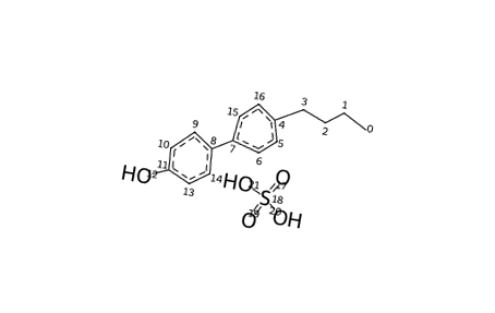 CCCCc1ccc(-c2ccc(O)cc2)cc1.O=S(=O)(O)O